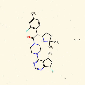 Cc1ccc(C(C(=O)N2CCN(c3ncnc4c3[C@H](C)C[C@@H]4F)CC2)[C@@H]2CCC(C)(C)N2)c(F)c1